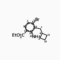 CCOC(=O)c1ccc(Br)c(CC2CCC2)c1N